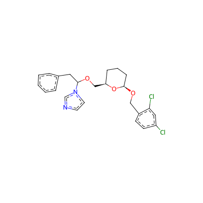 Clc1ccc(CO[C@@H]2CCC[C@H](COC(Cc3ccccc3)n3ccnc3)O2)c(Cl)c1